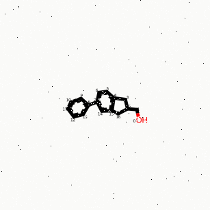 OCC1Cc2ccc(-c3ccccc3)cc2C1